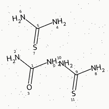 NC(N)=O.NC(N)=S.NC(N)=S